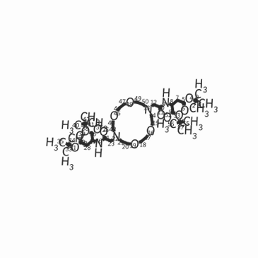 CC(C)(C)OC(=O)CC(NC(=O)CN1CCOCCOCCN(CC(=O)NC(CC(=O)OC(C)(C)C)C(=O)OC(C)(C)C)CCOCCOCC1)C(=O)OC(C)(C)C